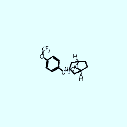 CN1[C@@H]2CC[C@H]1C[C@H](Oc1ccc(OC(F)(F)F)cc1)C2